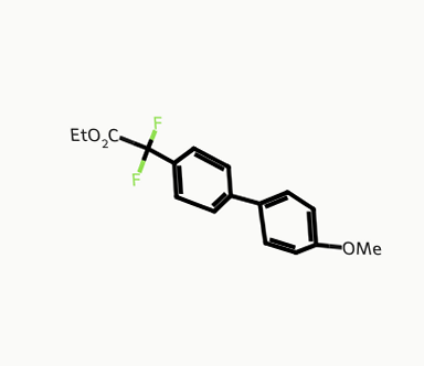 CCOC(=O)C(F)(F)c1ccc(-c2ccc(OC)cc2)cc1